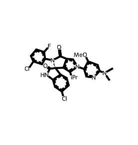 COc1cc(N(C)C)ncc1-n1cc2c(c1C(C)C)[C@@]1(C(=O)Nc3cc(Cl)ccc31)N(c1cc(Cl)ccc1F)C2=O